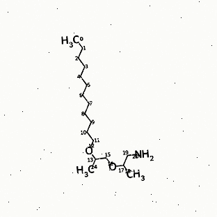 CCCCCCCCCCCCOC(C)COC(C)CN